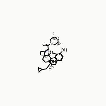 C[C@@H]1CN(C(=O)/C=C2\CC[C@]23CC[C@@]2(O)[C@H]4Cc5ccc(O)c6c5[C@@]2(CCN4CC2CC2)[C@H]3O6)C[C@H](C)O1